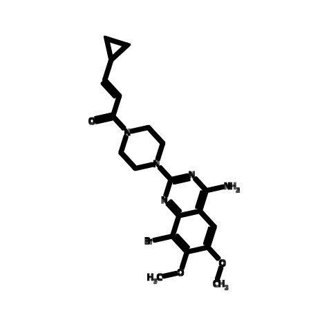 COc1cc2c(N)nc(N3CCN(C(=O)/C=C/C4CC4)CC3)nc2c(Br)c1OC